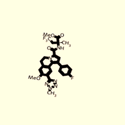 COC(=O)[C@](C)(CC(F)(F)F)NC(=O)c1cc(-c2ccc(F)cc2)c2n1CCc1cc(OC)c(-c3nnn(C)n3)cc1-2